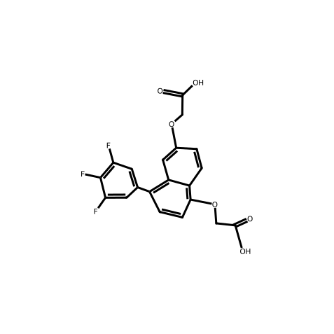 O=C(O)COc1ccc2c(OCC(=O)O)ccc(-c3cc(F)c(F)c(F)c3)c2c1